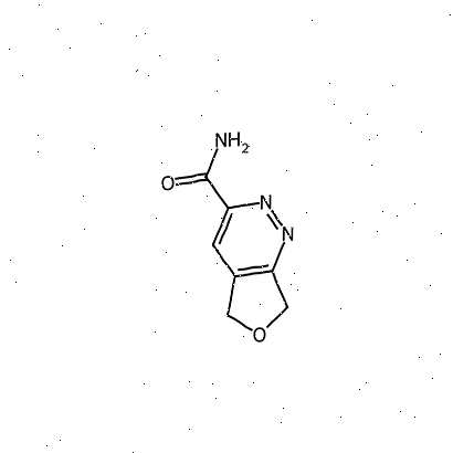 NC(=O)c1cc2c(nn1)COC2